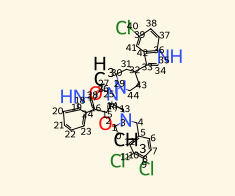 CC(=O)N(Cc1ccc(Cl)c(Cl)c1)C[C@@H](Cc1c[nH]c2ccccc12)N(C(C)=O)N1CCC(c2c[nH]c3ccc(Cl)cc23)CC1